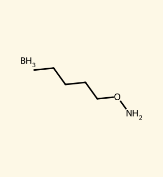 B.CCCCCON